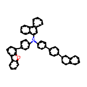 c1ccc2cc(-c3ccc(-c4ccc(N(c5ccc(-c6cccc7c6oc6ccccc67)cc5)c5cc6ccccc6c6ccccc56)cc4)cc3)ccc2c1